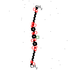 C=CC(=O)OCCCCCCCCOC(=O)Oc1ccc(C(=O)Oc2ccc(OC(=O)c3ccc(OC(=O)OCCCCCCCCOC(=O)C=C)cc3)c(Cl)c2)cc1